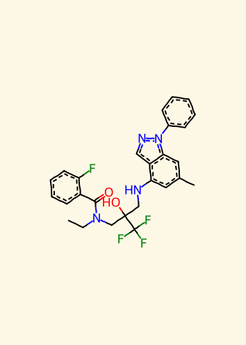 CCN(CC(O)(CNc1cc(C)cc2c1cnn2-c1ccccc1)C(F)(F)F)C(=O)c1ccccc1F